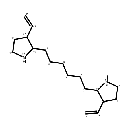 C=CC1CCNC1CCCCCCC1NCCC1C=C